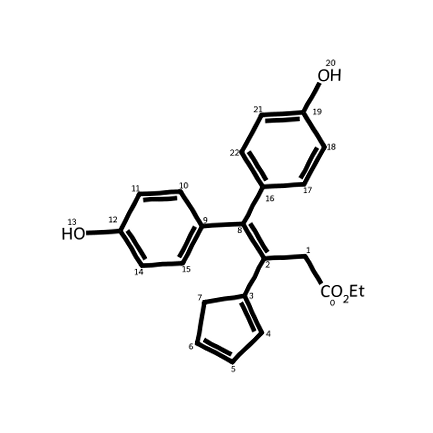 CCOC(=O)CC(C1=CC=CC1)=C(c1ccc(O)cc1)c1ccc(O)cc1